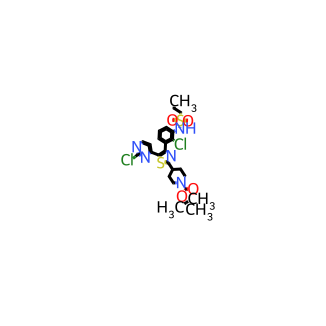 CCCS(=O)(=O)Nc1cccc(-c2nc(C3CCN(C(=O)OC(C)(C)C)CC3)sc2-c2ccnc(Cl)n2)c1Cl